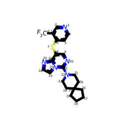 FC(F)(F)c1cnccc1Sc1cnc(N2CCC3(CCCC3)CC2)n2ccnc12